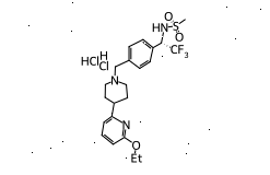 CCOc1cccc(C2CCN(Cc3ccc([C@H](NS(C)(=O)=O)C(F)(F)F)cc3)CC2)n1.Cl.Cl